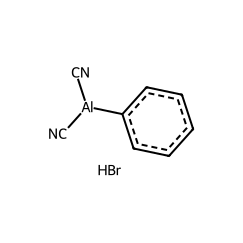 Br.N#[C][Al]([C]#N)[c]1ccccc1